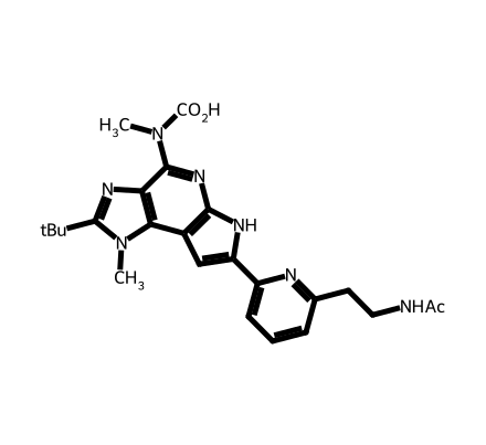 CC(=O)NCCc1cccc(-c2cc3c(nc(N(C)C(=O)O)c4nc(C(C)(C)C)n(C)c43)[nH]2)n1